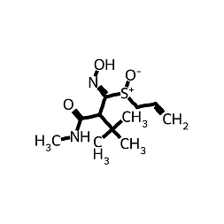 C=CC[S+]([O-])/C(=N\O)C(C(=O)NC)C(C)(C)C